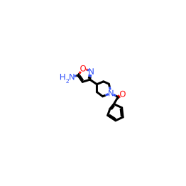 Nc1cc(C2CCN(C(=O)c3ccccc3)CC2)no1